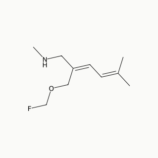 CNC/C(=C/C=C(C)C)COCF